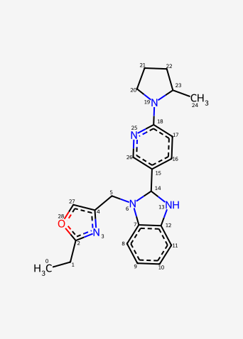 CCc1nc(CN2c3ccccc3NC2c2ccc(N3CCCC3C)nc2)co1